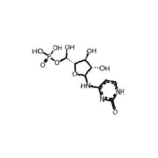 O=c1nc(NC2O[C@H](C(O)OP(=O)(O)O)[C@@H](O)[C@@H]2O)cc[nH]1